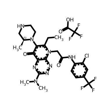 CCc1c(N2CCNC[C@@H]2C)c(=O)c2nc(N(C)C)nnc2n1CC(=O)Nc1ccc(C(F)(F)F)cc1Cl.O=C(O)C(F)(F)F